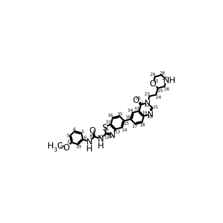 COc1cccc(NC(=O)Nc2nc3cc(-c4ccc5ncn(CCC6CNCCO6)c(=O)c5c4)ccc3s2)c1